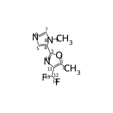 Cc1oc(-c2cncn2C)nc1C(F)F